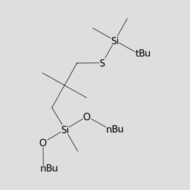 CCCCO[Si](C)(CC(C)(C)CS[Si](C)(C)C(C)(C)C)OCCCC